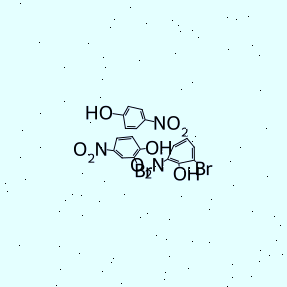 O=[N+]([O-])c1ccc(O)c(Br)c1.O=[N+]([O-])c1ccc(O)cc1.O=[N+]([O-])c1cccc(Br)c1O